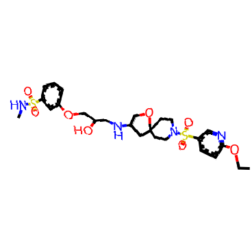 CCOc1ccc(S(=O)(=O)N2CCC3(CC2)CC(NCC(O)COc2cccc(S(=O)(=O)NC)c2)CO3)cn1